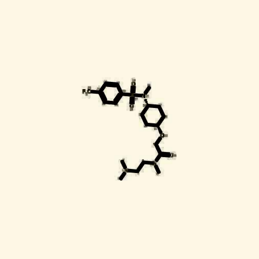 CN(C)CCN(C)C(=O)CO[C@H]1CC[C@H](N(C)S(=O)(=O)c2ccc(C(F)(F)F)cc2)CC1